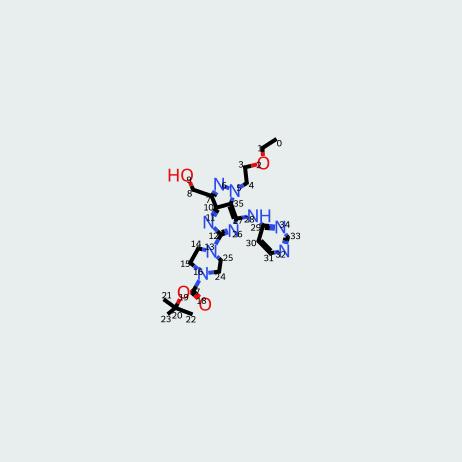 CCOCCn1nc(CO)c2nc(N3CCN(C(=O)OC(C)(C)C)CC3)nc(Nc3ccncn3)c21